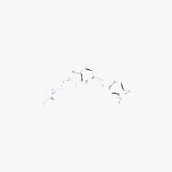 CCC(=O)NCCN1Cc2nc(NCc3cc(F)c(F)cc3F)ccc2C1=O